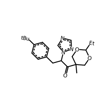 CCC1OCC(C)(C(=O)C(Cc2ccc(C(C)(C)C)cc2)n2cncn2)CO1